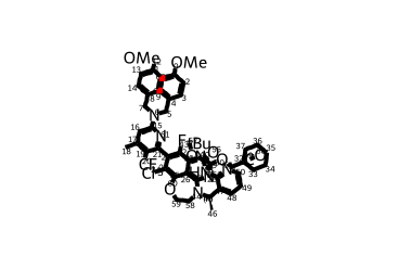 COc1ccc(CN(Cc2ccc(OC)cc2)c2cc(C)c(C(F)(F)F)c(-c3c(Cl)c4c5c(nc(OCC67CCC(CC6)OC7)nc5c3F)N([C@H](C)c3cccnc3NC(=O)OC(C)(C)C)CCO4)n2)cc1